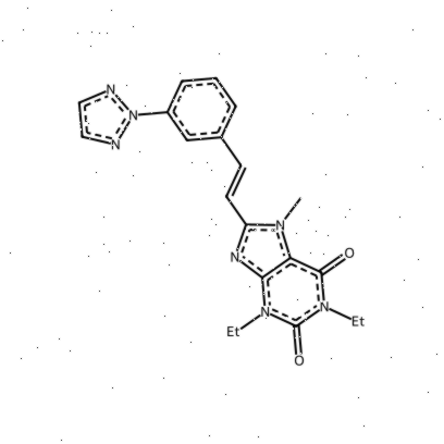 CCn1c(=O)c2c(nc(C=Cc3cccc(-n4nccn4)c3)n2C)n(CC)c1=O